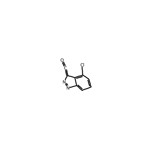 O=C=C1N=Nc2cccc(Cl)c21